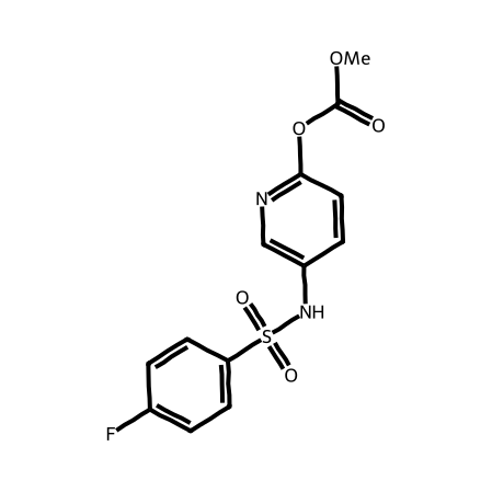 COC(=O)Oc1ccc(NS(=O)(=O)c2ccc(F)cc2)cn1